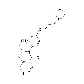 CCc1nc2cnccc2c(=O)n1-c1ccc(OCCCN2CCCC2)cc1